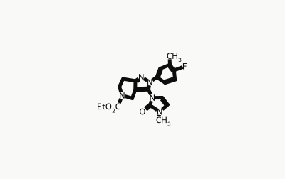 CCOC(=O)N1CCc2nn(-c3ccc(F)c(C)c3)c(-n3ccn(C)c3=O)c2C1